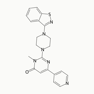 Cn1c(N2CCN(c3nsc4ccccc34)CC2)nc(-c2ccncc2)cc1=O